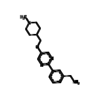 CN1CCC(COc2cnc(-c3cccc(CN)c3)nc2)CC1